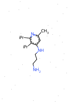 Cc1cc(NCCCN)c(C(C)C)c(C(C)C)n1